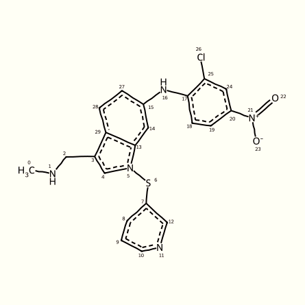 CNCc1cn(Sc2cccnc2)c2cc(Nc3ccc([N+](=O)[O-])cc3Cl)ccc12